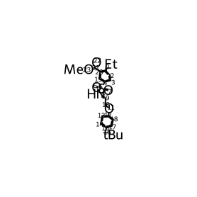 CCc1ccc(S(=O)(=O)NCCOc2ccc(C(C)(C)C)cc2)cc1C(=O)OC